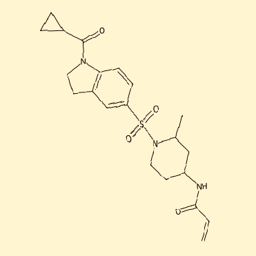 C=CC(=O)NC1CCN(S(=O)(=O)c2ccc3c(c2)CCN3C(=O)C2CC2)C(C)C1